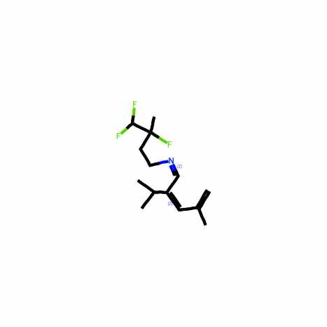 C=C(C)/C=C(\C=N/CCC(C)(F)C(F)F)C(C)C